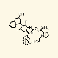 C[C@]12CCC(CN(c3nc(OC[C@H]([SiH3])[C@@H]4CCCN4CCO)nc4c(F)c(-c5cc(O)cc6ccccc56)c(F)cc34)C1)N2